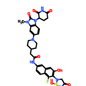 Cn1c(=O)n(C2CCC(=O)NC2=O)c2ccc(N3CCC(CC(=O)Nc4ccc5c(F)c(N6CC(=O)NS6(O)O)c(O)cc5c4)CC3)cc21